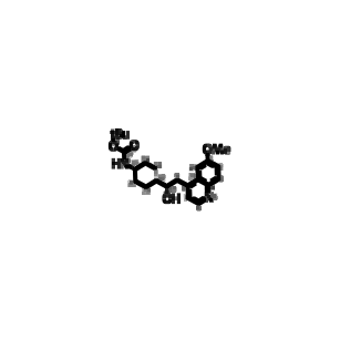 COc1ccc2nccc(C[C@@H](O)[C@H]3CC[C@H](NC(=O)OC(C)(C)C)CC3)c2c1